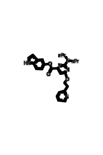 CCCN(CCC)c1nc(OCCc2ccccn2)cc(C(=O)Oc2ccc3[nH]ccc3c2)n1